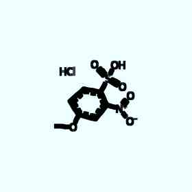 COc1ccc(S(=O)(=O)O)c([N+](=O)[O-])c1.Cl